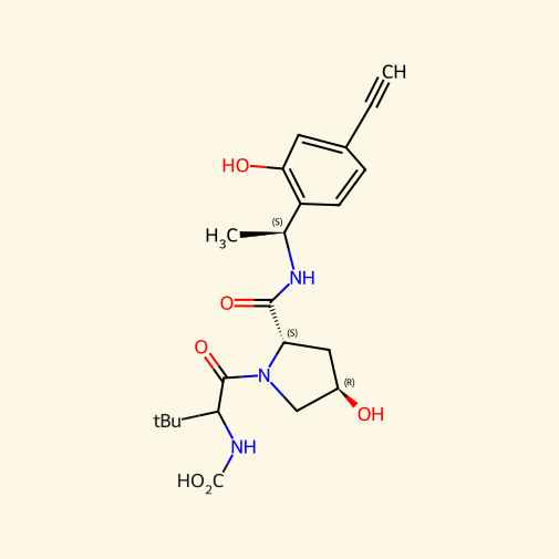 C#Cc1ccc([C@H](C)NC(=O)[C@@H]2C[C@@H](O)CN2C(=O)C(NC(=O)O)C(C)(C)C)c(O)c1